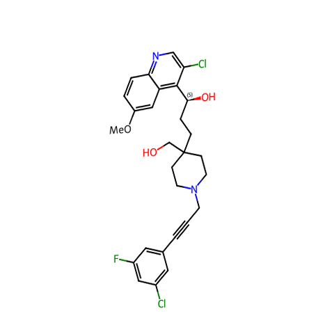 COc1ccc2ncc(Cl)c([C@@H](O)CCC3(CO)CCN(CC#Cc4cc(F)cc(Cl)c4)CC3)c2c1